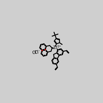 C=Cc1ccc2c(c1)-c1cc(C=C)c[c]([Zr+2]([C]3=CC(C(C)(C)C)=CC3C)=[C](Cc3ccccc3)Cc3ccccc3)c1C2.[Cl-].[Cl-]